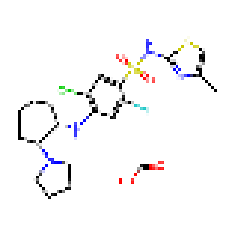 Cc1csc(NS(=O)(=O)c2cc(Cl)c(N[C@H]3CCCC[C@@H]3N3CCCC3)cc2F)n1.O=CO